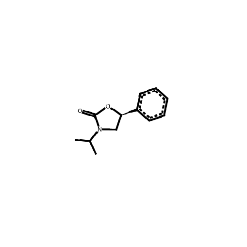 CC(C)N1C[C@H](c2ccccc2)OC1=O